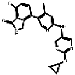 Cc1cc(Nc2cnc(OC3CC3)nc2)ncc1-c1ccc(F)c2c1CNC2=O